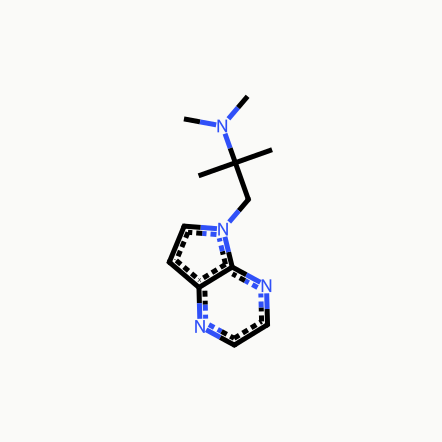 CN(C)C(C)(C)Cn1ccc2nccnc21